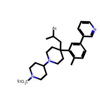 CCOC(=O)N1CCC(N2CCC(CC(C)C(C)=O)(c3cc(-c4cccnc4)ccc3C)CC2)CC1